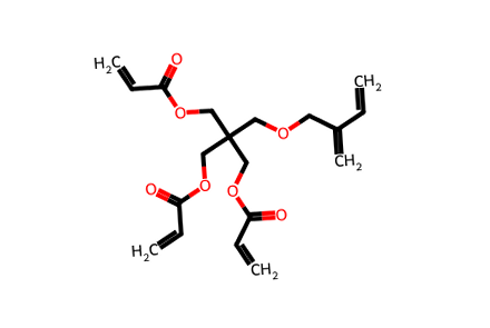 C=CC(=C)COCC(COC(=O)C=C)(COC(=O)C=C)COC(=O)C=C